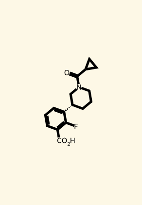 O=C(O)c1cccc([C@H]2CCCN(C(=O)C3CC3)C2)c1F